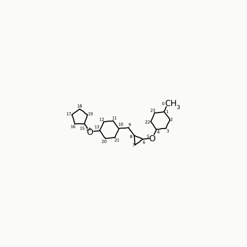 CC1CCC(OC2CC2CC2CCC(OC3CCCC3)CC2)CC1